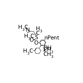 C=C(C)[C@@H]1CCC(C)=C[C@H]1c1c(O)cc(CCCCC)cc1OC(=O)SC(C)(C)CC1CN1C